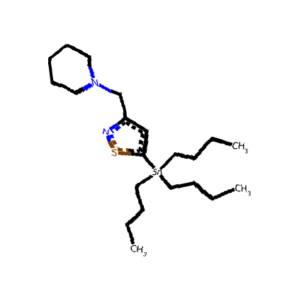 CCC[CH2][Sn]([CH2]CCC)([CH2]CCC)[c]1cc(CN2CCCCC2)ns1